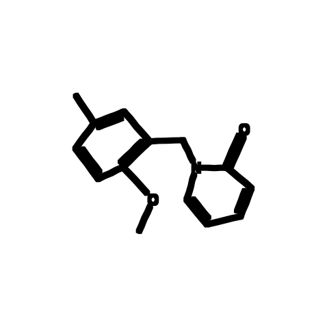 COc1ccc(C)cc1Cn1ccccc1=O